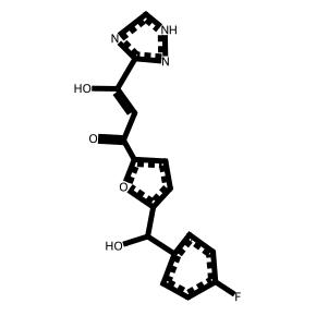 O=C(C=C(O)c1nc[nH]n1)c1ccc(C(O)c2ccc(F)cc2)o1